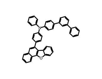 c1ccc(-c2cccc(-c3ccc(N(c4ccccc4)c4ccc(-c5cc6ccccc6c6oc7ccccc7c56)cc4)cc3)c2)cc1